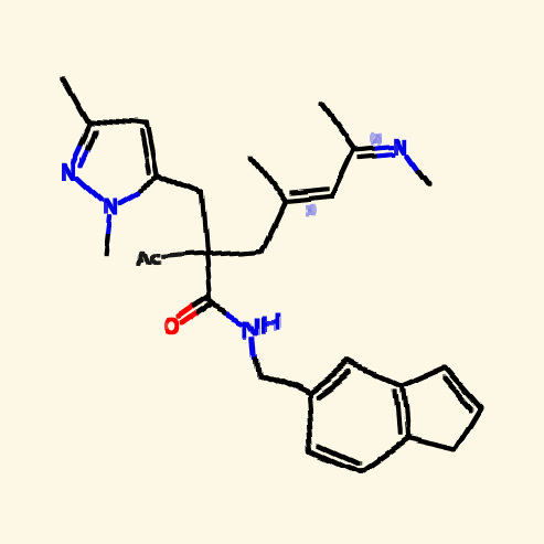 C/N=C(C)\C=C(/C)CC(Cc1cc(C)nn1C)(C(C)=O)C(=O)NCc1ccc2c(c1)C=CC2